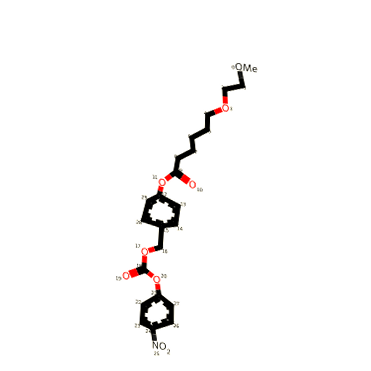 COCCOCCCCCC(=O)Oc1ccc(COC(=O)Oc2ccc([N+](=O)[O-])cc2)cc1